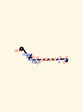 Cc1nc(NCCCc2cccc(O)c2)nc(C)c1C(=O)N[C@@H](CNC(=O)CCOCCOCCOCCOCCNC(=O)CCN1C(=O)C=CC1=O)C(=O)O